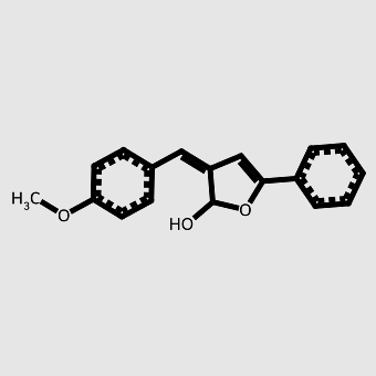 COc1ccc(/C=C2/C=C(c3ccccc3)OC2O)cc1